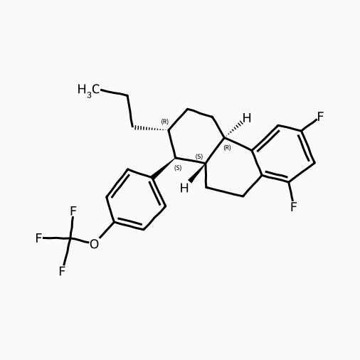 CCC[C@@H]1CC[C@H]2c3cc(F)cc(F)c3CC[C@@H]2[C@H]1c1ccc(OC(F)(F)F)cc1